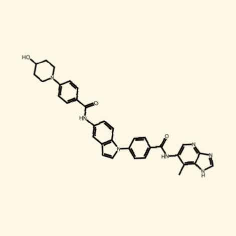 Cc1c(NC(=O)c2ccc(-n3ccc4cc(NC(=O)c5ccc(N6CCC(O)CC6)cc5)ccc43)cc2)cnc2nc[nH]c12